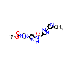 Cc1cc(-c2ncc(CC(=O)Nc3ccc(N4CCN(C(=O)OC(C)C)CC4)cn3)cn2)ccn1